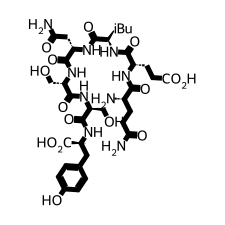 CC[C@H](C)[C@H](NC(=O)[C@H](CCC(=O)O)NC(=O)[C@@H](N)CCC(N)=O)C(=O)N[C@@H](CC(N)=O)C(=O)N[C@@H](CO)C(=O)N[C@@H](CO)C(=O)N[C@@H](Cc1ccc(O)cc1)C(=O)O